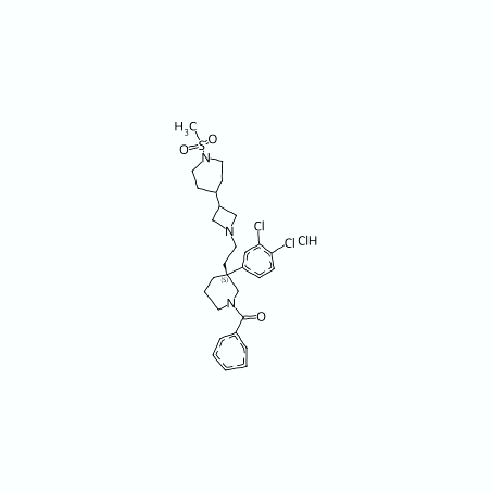 CS(=O)(=O)N1CCC(C2CN(CC[C@]3(c4ccc(Cl)c(Cl)c4)CCCN(C(=O)c4ccccc4)C3)C2)CC1.Cl